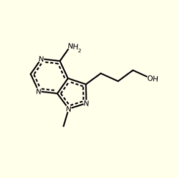 Cn1nc(CCCO)c2c(N)ncnc21